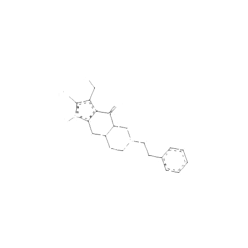 CCc1c2c(n(C)c1C)CC1CCN(CCc3ccccc3)CC1C2=O